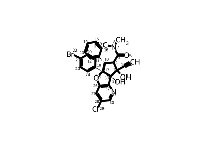 C#CC1(O)C(C(=O)N(C)C)[C@@H](c2ccccc2)[C@]2(c3ccc(Br)cc3)Oc3cc(Cl)cnc3[C@]12O